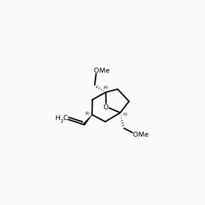 C=C[C@H]1C[C@@]2(COC)CC[C@@](COC)(C1)O2